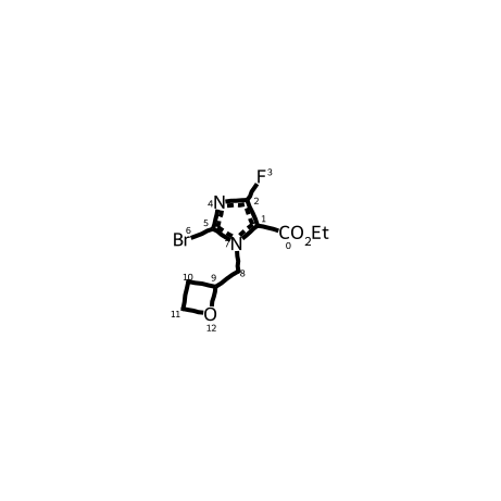 CCOC(=O)c1c(F)nc(Br)n1CC1CCO1